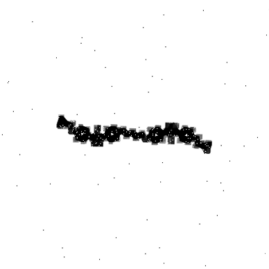 c1cc(-c2nnc(-c3ccc(OCC4CC4)cc3)[pH]2)ccc1CCCCCOc1ccc(-c2nnc(-c3ccc(CCC4CO4)cc3)[pH]2)cc1